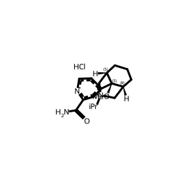 CO[C@]1(c2ccnc(C(N)=O)c2)[C@@H]2CCC[C@H]1CN(C(C)C)C2.Cl